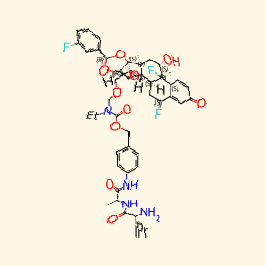 CCN(COCC(=O)[C@@]12O[C@H](c3cccc(F)c3)O[C@@H]1C[C@H]1[C@@H]3C[C@H](F)C4=CC(=O)C=C[C@]4(C)[C@@]3(F)[C@@H](O)C[C@@]12C)C(=O)OCc1ccc(NC(=O)C(C)NC(=O)C(N)C(C)C)cc1